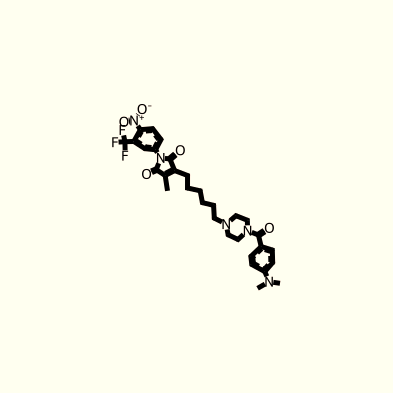 CC1=C(CCCCCCN2CCN(C(=O)c3ccc(N(C)C)cc3)CC2)C(=O)N(c2ccc([N+](=O)[O-])c(C(F)(F)F)c2)C1=O